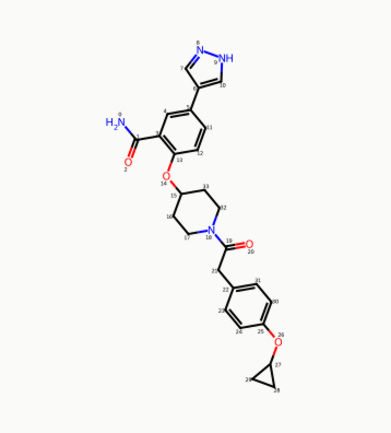 NC(=O)c1cc(-c2cn[nH]c2)ccc1OC1CCN(C(=O)Cc2ccc(OC3CC3)cc2)CC1